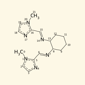 Cn1ccnc1C=NC1CCCCC1N=Cc1nccn1C